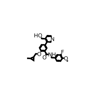 COc1ccc(CNC(=O)c2cc(-c3cnccc3CO)ccc2OCC2CC2C)cc1F